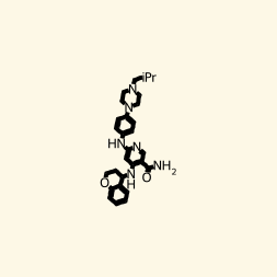 CC(C)CN1CCN(c2ccc(Nc3cc(NC4CCOc5ccccc54)c(C(N)=O)cn3)cc2)CC1